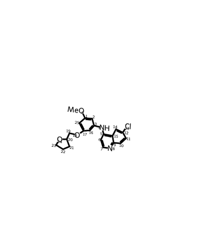 COc1cc(Nc2ccnc3ccc(Cl)cc23)cc(OCC2CCCO2)c1